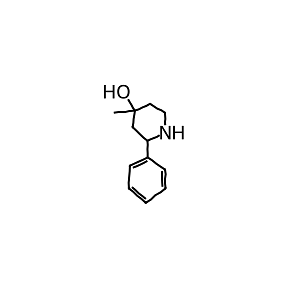 CC1(O)CCNC(c2ccccc2)C1